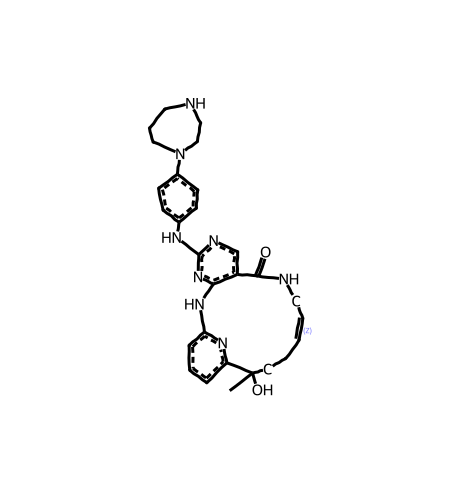 CC1(O)CC/C=C\CNC(=O)c2cnc(Nc3ccc(N4CCCNCC4)cc3)nc2Nc2cccc1n2